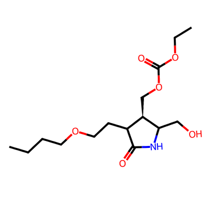 CCCCOCCC1C(=O)NC(CO)[C@@H]1COC(=O)OCC